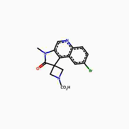 CN1C(=O)C2(CN(C(=O)O)C2)c2c1cnc1ccc(Br)cc21